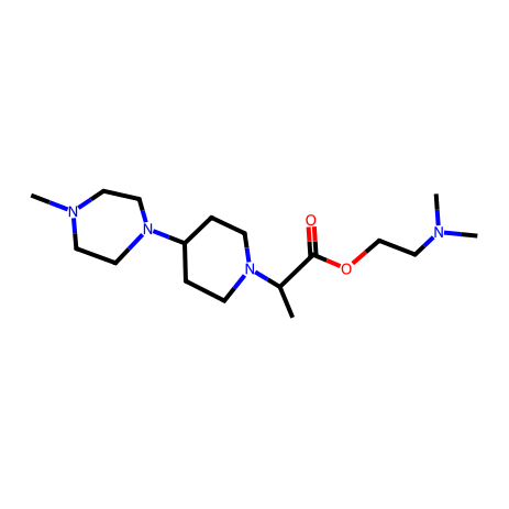 CC(C(=O)OCCN(C)C)N1CCC(N2CCN(C)CC2)CC1